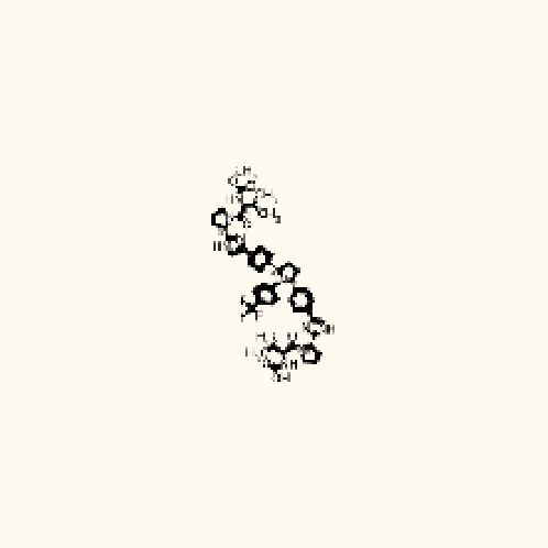 COC(=O)N[C@H](C(=O)N1CCC[C@H]1c1nc(-c2ccc([C@H]3CC[C@H](c4ccc(-c5c[nH]c([C@@H]6CCCN6C(=O)[C@@H](NC(=O)O)C(C)C)n5)cc4)N3c3ccc(C(F)(F)F)cc3)cc2)c[nH]1)C(C)C